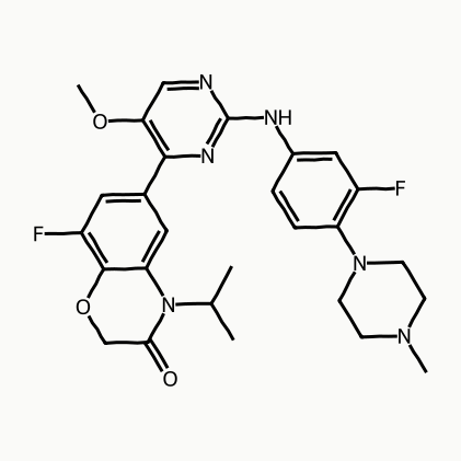 COc1cnc(Nc2ccc(N3CCN(C)CC3)c(F)c2)nc1-c1cc(F)c2c(c1)N(C(C)C)C(=O)CO2